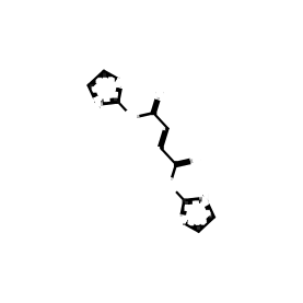 O=C(/C=C/C(=O)Oc1nccs1)Oc1nccs1